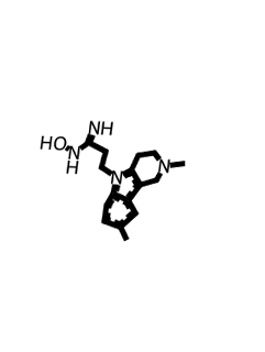 Cc1ccc2c(c1)c1c(n2CCC(=N)NO)CCN(C)C1